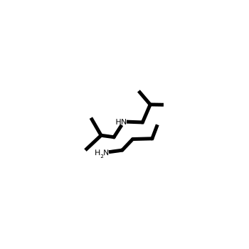 CC(C)CNCC(C)C.CCCCN